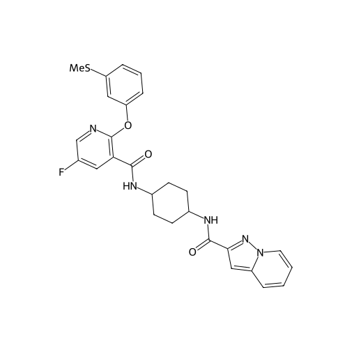 CSc1cccc(Oc2ncc(F)cc2C(=O)NC2CCC(NC(=O)c3cc4ccccn4n3)CC2)c1